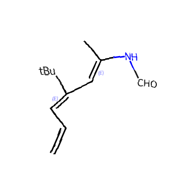 C=C/C=C(\C=C(/C)NC=O)C(C)(C)C